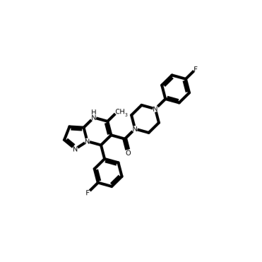 CC1=C(C(=O)N2CCN(c3ccc(F)cc3)CC2)C(c2cccc(F)c2)n2nccc2N1